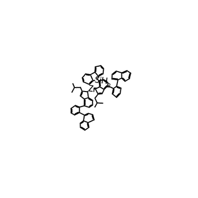 CC(C)CC1=Cc2c(-c3ccccc3-c3cccc4ccccc34)cccc2[CH]1[Zr]([c]1cccc2c1[SiH2]c1ccccc1-2)[CH]1C(CC(C)C)=Cc2c(-c3ccccc3-c3cccc4ccccc34)cccc21